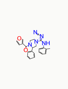 Cc1ccccc1N/C(=N/C#N)N1CCN(C(=O)c2ccoc2)C(c2ccccc2)C1